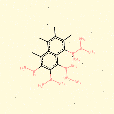 BBB(B)c1c(B(B)B)c(BB)c(C)c2c(C)c(C)c(C)c(B(B)B(B)B)c12